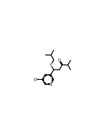 CC(C)CSC(CC(=O)C(C)C)c1cncc(Cl)c1